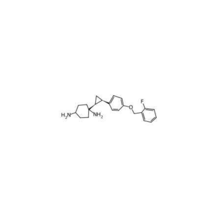 NC1CCC(N)([C@H]2C[C@H]2c2ccc(OCc3ccccc3F)cc2)CC1